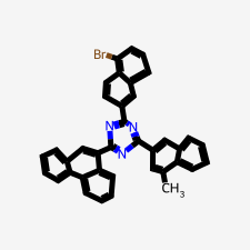 Cc1cc(-c2nc(-c3ccc4c(Br)cccc4c3)nc(-c3cc4ccccc4c4ccccc34)n2)cc2ccccc12